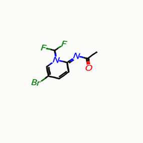 CC(=O)N=c1ccc(Br)cn1C(F)F